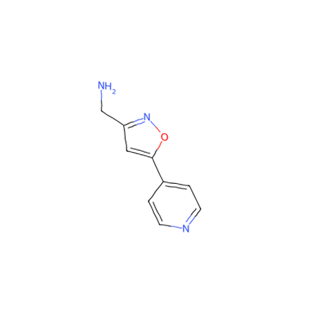 NCc1cc(-c2ccncc2)on1